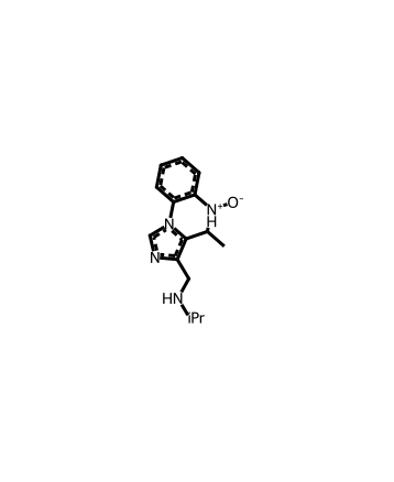 CC(C)NCc1ncn2c1C(C)[NH+]([O-])c1ccccc1-2